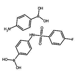 Nc1ccc(B(O)O)cc1.O=S(=O)(Nc1ccc(B(O)O)cc1)c1ccc(F)cc1